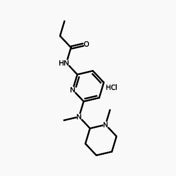 CCC(=O)Nc1cccc(N(C)C2CCCCN2C)n1.Cl